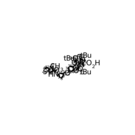 Cn1c(C(=O)Nc2cccc(COc3ccc(CN(C(=O)OC(C)(C)C)/C(=N/C(=O)O)N(C(=O)OC(C)(C)C)C(=O)OC(C)(C)C)cc3)c2)cc2sccc21